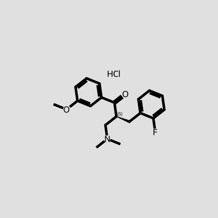 COc1cccc(C(=O)[C@@H](Cc2ccccc2F)CN(C)C)c1.Cl